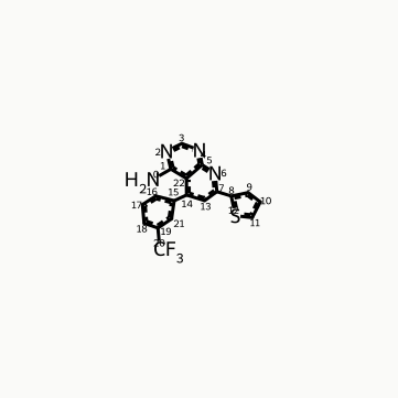 Nc1ncnc2nc(-c3cccs3)cc(-c3cccc(C(F)(F)F)c3)c12